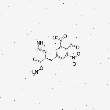 NN=N[C@@H](Cc1cc([N+](=O)[O-])c(N=O)c([N+](=O)[O-])c1)C(=O)ON